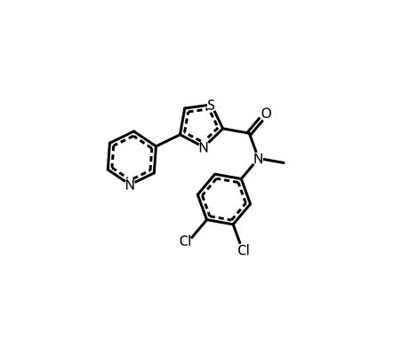 CN(C(=O)c1nc(-c2cccnc2)cs1)c1ccc(Cl)c(Cl)c1